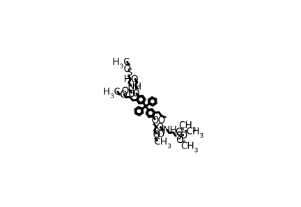 CCOCC(COc1ccc(C(c2ccccc2)(c2ccccc2)c2ccc(OCCCO)c(CC(COCC)OC(=O)NCCCSOCC)c2)cc1CC1CO1)OC(=O)NCCC[Si](OCC)(OCC)OCC